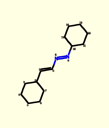 C(=CC1CCCCC1)N=NC1CCCCC1